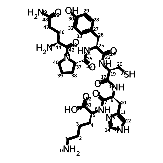 NCCCC[C@H](NC(=O)[C@H](Cc1c[nH]cn1)NC(=O)[C@H](CS)NC(=O)[C@H](Cc1ccc(O)cc1)NC(=O)[C@@H]1CCCN1C(=O)[C@@H](N)CCC(N)=O)C(=O)O